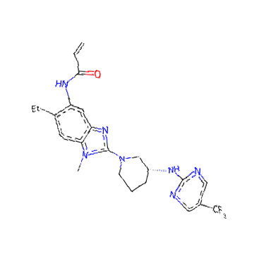 C=CC(=O)Nc1cc2nc(N3CCC[C@@H](Nc4ncc(C(F)(F)F)cn4)C3)n(C)c2cc1CC